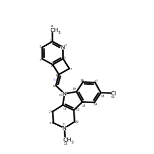 Cc1ccc2c(n1)C/C2=C\n1c2c(c3cc(Cl)ccc31)CN(C)CC2